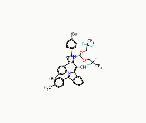 Cc1ccc(C2=N/C(=C(/C#N)c3c(-c4ccc(C(C)(C)C)cc4)cc(-c4ccc(C(C)(C)C)cc4)n3B(OCC(F)(F)C(F)(F)F)OCC(F)(F)C(F)(F)F)c3ccccc32)cc1